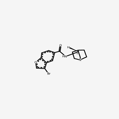 O=C(N[C@H]1CN2CCC1CC2)c1ccc2occ(Br)c2c1